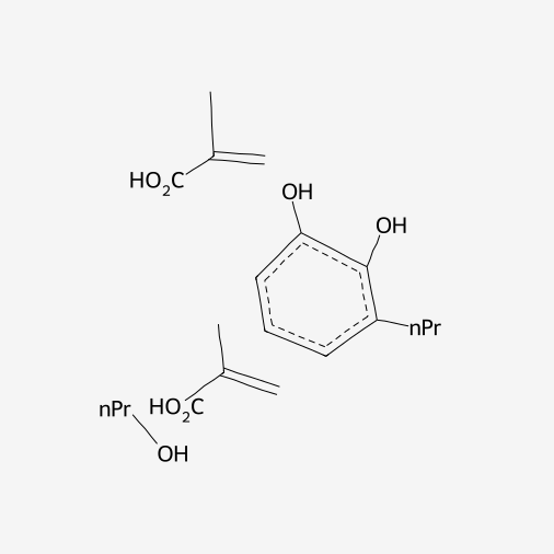 C=C(C)C(=O)O.C=C(C)C(=O)O.CCCO.CCCc1cccc(O)c1O